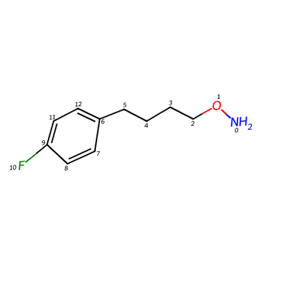 NOCCCCc1ccc(F)cc1